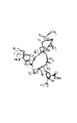 CC(=O)c1cccc(C(=O)O)c1O.CC[C@H]1OC(=O)[C@H](C)[C@@H](O[C@H]2C[C@@](C)(OC)[C@@H](O)[C@H](C)O2)[C@H](C)[C@@H](O[C@@H]2O[C@H](C)C[C@H](N(C)C)[C@H]2O)[C@](C)(O)C[C@@H](C)C(=O)[C@H](C)[C@@H](O)[C@]1(C)O